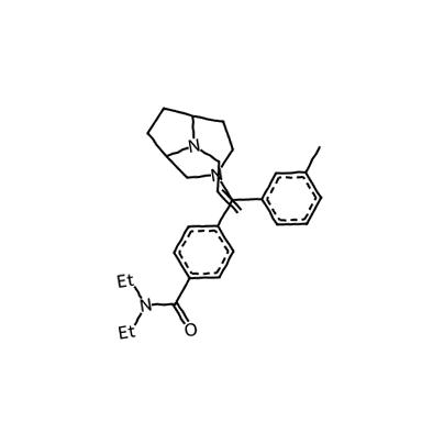 C=CCN1C2CCC1CN(C(c1ccc(C(=O)N(CC)CC)cc1)c1cccc(C)c1)CC2